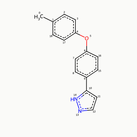 Cc1ccc(Oc2ccc(-c3ccn[nH]3)cc2)cc1